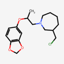 CC(CN1CCCCC(CCl)C1)Oc1ccc2c(c1)OCO2